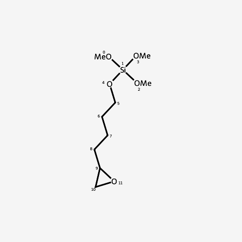 CO[Si](OC)(OC)OCCCCC1CO1